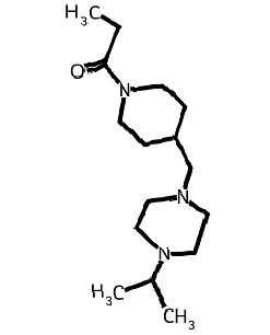 CCC(=O)N1CCC(CN2CCN(C(C)C)CC2)CC1